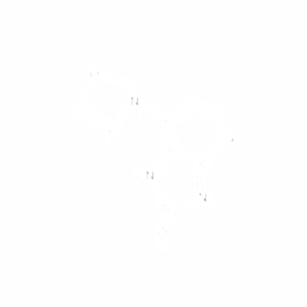 O=C1N=c2cccc(N3C=COC3)c2=N1